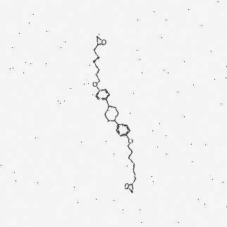 c1cc(C2CCC(c3ccc(OCCCCCCC4CO4)cc3)CC2)ccc1OCCCCCCC1CO1